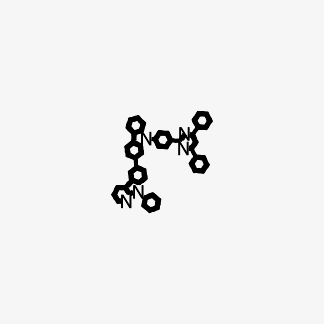 c1ccc(-c2cc(-c3ccccc3)nc(-c3ccc(-n4c5ccccc5c5ccc(-c6ccc7c(c6)c6cccnc6n7-c6ccccc6)cc54)cc3)n2)cc1